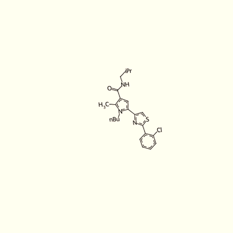 CCCCn1c(-c2csc(-c3ccccc3Cl)n2)cc(C(=O)NCC(C)C)c1C